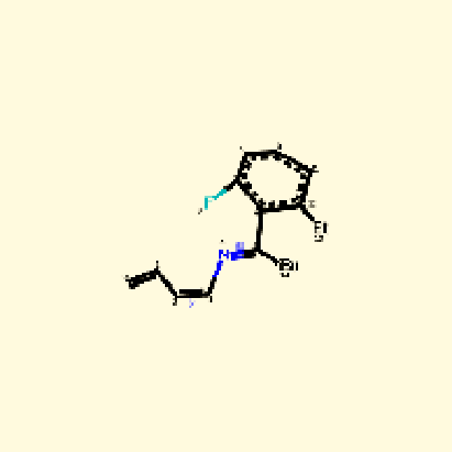 C=C/C=C\N=C(\c1c(F)cccc1CC)C(C)CC